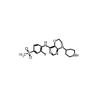 CS(=O)(=O)c1ccc(Nc2ncnc3c2OCCN3C2CCNCC2)c(F)c1